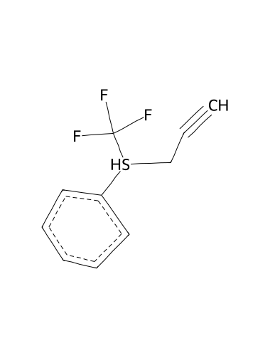 C#CC[SH](c1ccccc1)C(F)(F)F